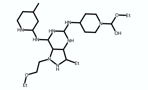 CCOCCN1NC(CC)C2NC(NC3CCN(C(O)OCC)CC3)NC(NC3CC(C)CCN3)C21